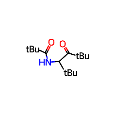 CC(C)(C)C(=O)NC(C(=O)C(C)(C)C)C(C)(C)C